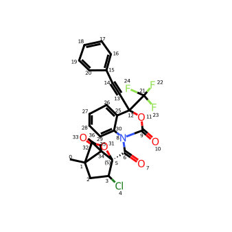 CC12CC(Cl)[C@](C(=O)N3C(=O)OC(C#Cc4ccccc4)(C(F)(F)F)c4ccccc43)(OC1=O)C2(C)C